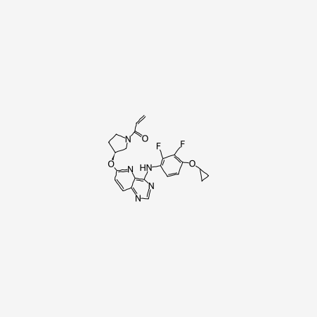 C=CC(=O)N1CC[C@H](Oc2ccc3ncnc(Nc4ccc(OC5CC5)c(F)c4F)c3n2)C1